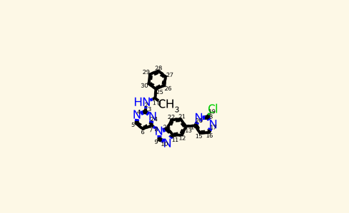 CC(Nc1nccc(-n2cnc3cc(-c4ccnc(Cl)n4)ccc32)n1)c1ccccc1